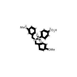 COc1ccc(CN(Cc2cccc(OC)c2)S(=O)(=O)c2ccc(C(=O)O)cc2)cc1